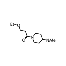 CCOCCC(=O)N1CCC(NC)CC1